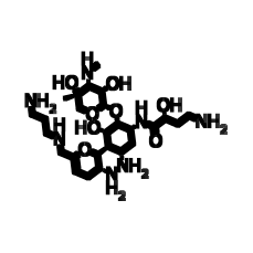 CN[C@@H]1[C@@H](O)[C@@H](O[C@@H]2[C@@H](O)[C@H](C3OC(CNCCCN)=CC[C@H]3N)[C@@H](N)C[C@H]2NC(=O)[C@H](O)CCN)OC[C@]1(C)O